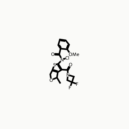 COc1ccccc1C(=O)N(Cl)c1sc2c(c1C(=O)N1CC(F)(F)C1)C(C)OC2